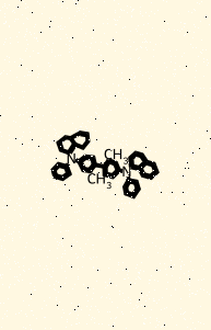 Cc1cc(N(C2=C3CCC=CC3CC=C2)c2ccccc2)ccc1-c1ccc(N(c2ccccc2)c2cccc3ccccc23)cc1C